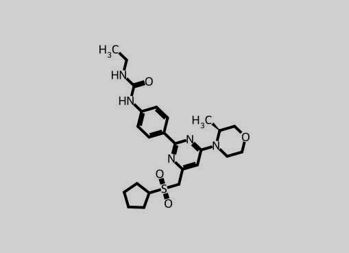 CCNC(=O)Nc1ccc(-c2nc(CS(=O)(=O)C3CCCC3)cc(N3CCOC[C@@H]3C)n2)cc1